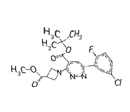 COC(=O)C1CN(c2nnc(-c3cc(Cl)ccc3F)cc2C(=O)OC(C)(C)C)C1